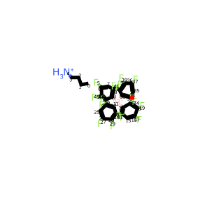 CCCC[NH3+].Fc1cc(F)c([B-](c2c(F)cc(F)c(F)c2F)(c2c(F)cc(F)c(F)c2F)c2c(F)cc(F)c(F)c2F)c(F)c1F